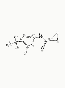 CC(F)(F)c1cnc(NC(=O)C2CC2)cc1Cl